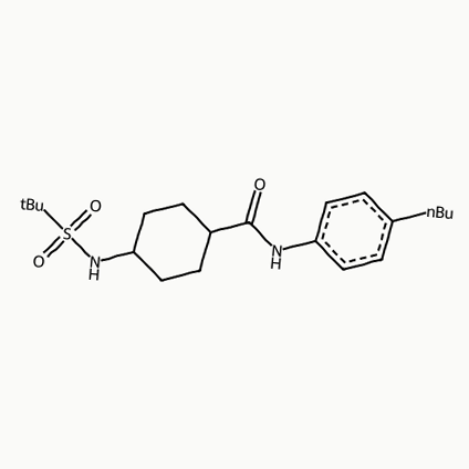 CCCCc1ccc(NC(=O)C2CCC(NS(=O)(=O)C(C)(C)C)CC2)cc1